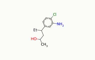 CCC(CC(C)O)c1ccc(Cl)c(N)c1